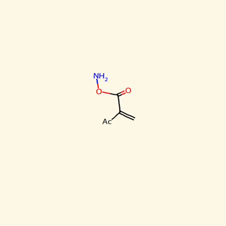 C=C(C(C)=O)C(=O)ON